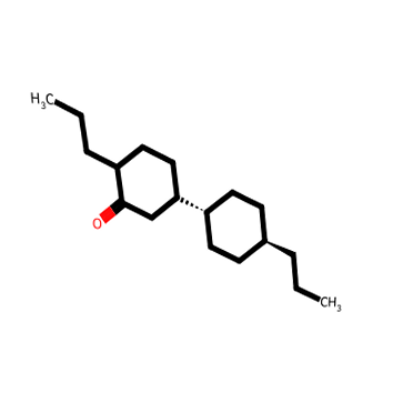 CCCC1CCC([C@H]2CC[C@H](CCC)CC2)CC1=O